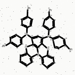 CC(C)c1ccc(N(c2ccc(C(C)C)cc2)c2cc(N(c3ccc(C(C)C)cc3)c3ccc(C(C)C)cc3)c3c4c2Oc2ccccc2B4c2ccccc2O3)cc1